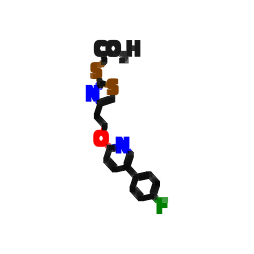 O=C(O)CSc1nc(CCOc2ccc(-c3ccc(F)cc3)cn2)cs1